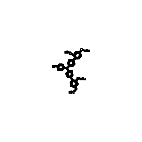 CCCCOc1ccc(-c2ccc(N(c3ccc(Br)cc3)c3ccc(-c4ccc(OCCCC)cc4OCCCC)cc3)cc2)c(OCCCC)c1